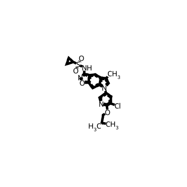 Cc1cn(-c2cnc(OCC(C)C)c(Cl)c2)c2cc3onc(NS(=O)(=O)C4CC4)c3cc12